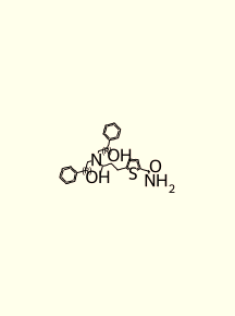 CC(CCc1ccc(C(N)=O)s1)N(C[C@H](O)c1ccccc1)C[C@H](O)c1ccccc1